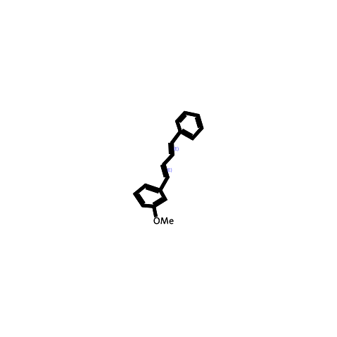 COc1cccc(/C=C/C=C/c2ccccc2)c1